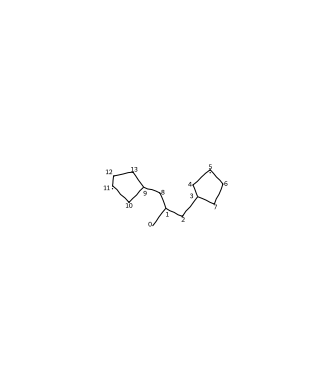 CC(CC1C[CH]CC1)CC1C[CH]CC1